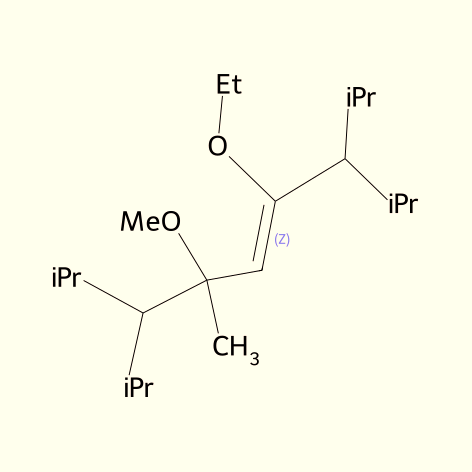 CCO/C(=C\C(C)(OC)C(C(C)C)C(C)C)C(C(C)C)C(C)C